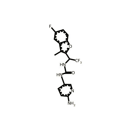 Cc1c(C(NC(=O)Nc2ccc(N)nc2)C(F)(F)F)oc2ccc(F)cc12